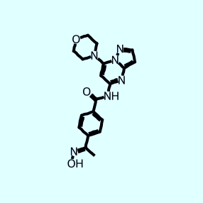 C/C(=N\O)c1ccc(C(=O)Nc2cc(N3CCOCC3)n3nccc3n2)cc1